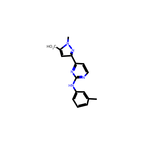 Cc1cccc(Nc2nccc(-c3cc(C(=O)O)n(C)n3)n2)c1